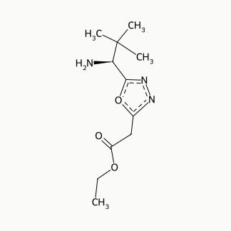 CCOC(=O)Cc1nnc([C@@H](N)C(C)(C)C)o1